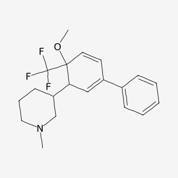 COC1(C(F)(F)F)C=CC(c2ccccc2)=CC1C1CCCN(C)C1